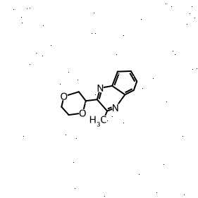 Cc1nc2ccccc2nc1C1COCCO1